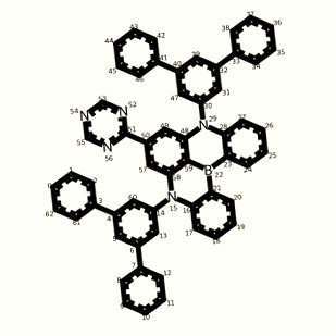 c1ccc(-c2cc(-c3ccccc3)cc(N3c4ccccc4B4c5ccccc5N(c5cc(-c6ccccc6)cc(-c6ccccc6)c5)c5cc(-c6ncncn6)cc3c54)c2)cc1